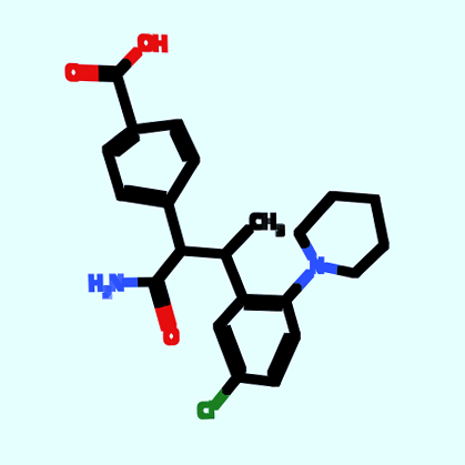 CC(c1cc(Cl)ccc1N1CCCCC1)C(C(N)=O)c1ccc(C(=O)O)cc1